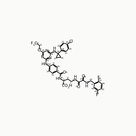 O=C(NCC[C@H](NC(=O)c1ccc(Nc2nc(NC3(c4ccc(Cl)cc4)CC3)nc(OCC(F)(F)F)n2)cc1)C(=O)O)C(=O)NCc1cc(F)ccc1F